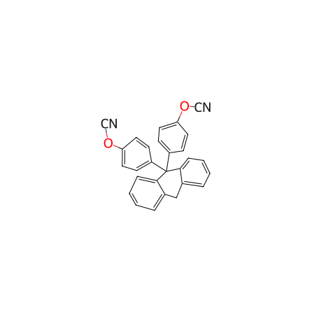 N#COc1ccc(C2(c3ccc(OC#N)cc3)c3ccccc3Cc3ccccc32)cc1